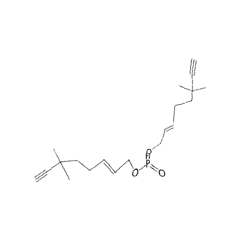 C#CC(C)(C)CCC=CCO[PH](=O)OCC=CCCC(C)(C)C#C